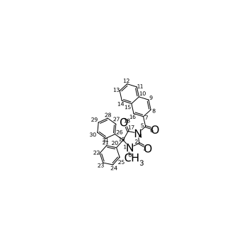 CN1C(=O)N(C(=O)c2ccc3ccccc3c2)C(=O)C1(c1ccccc1)c1ccccc1